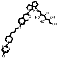 O=C(Cc1ccc(OCCCC2CCN(c3ncc(Cl)cn3)CC2)cc1F)N1CCC2(CCCC2NC[C@H](O)[C@@H](O)[C@H](O)[C@H](O)CO)C1